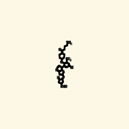 Cc1cc(Cl)cc(-c2ccnc3cc(CN4CC(C=O)CC4=O)sc23)c1OC1CCN(C(=O)CCCN)CC1